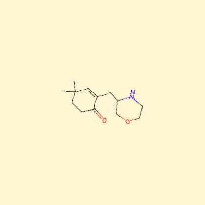 CC1(C)C=C(CC2COCCN2)C(=O)CC1